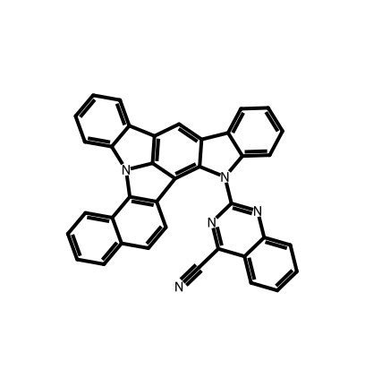 N#Cc1nc(-n2c3ccccc3c3cc4c5ccccc5n5c6c7ccccc7ccc6c(c32)c45)nc2ccccc12